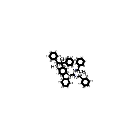 C=C(/N=C(\N=C(/C)c1ccccc1)N1c2cc3c(cc2C2C=CC=CC21)NC(c1ccccc1)C3(C)c1ccccc1)c1ccccc1